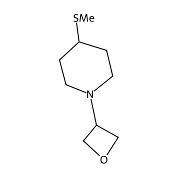 CSC1CCN(C2COC2)CC1